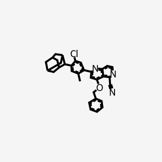 Cc1cc(C2C3CC4CC(C3)CC2C4)c(Cl)cc1-c1cc(OCc2ccccc2)c2c(C#N)nccc2n1